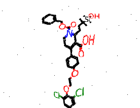 CC(C)(CCC1C(C(=O)O)=C(c2ccc(OCCOc3c(Cl)cccc3Cl)cc2)CCN1C(=O)OCc1ccccc1)[Si](C)(C)O